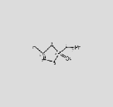 CC1=CCP(=O)(CC(C)C)C1